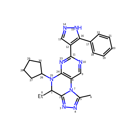 CCC1c2nnc(C)n2-c2cnc(-c3cn[nH]c3-c3ccccc3)nc2N1C1CCCC1